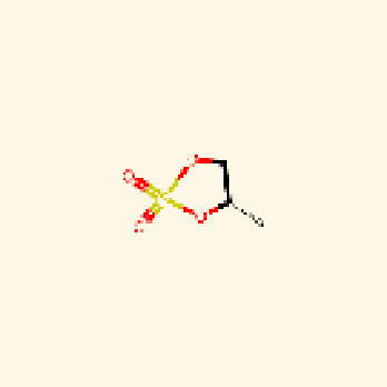 C[C@H]1COS(=O)(=O)O1